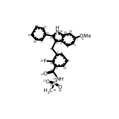 COc1ccc2c(Cc3cccc(C(=O)NS(C)(=O)=O)c3F)c(-c3ccccc3)[nH]c2c1